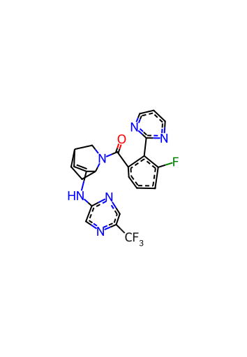 O=C(c1cccc(F)c1-c1ncccn1)N1CC2C=C(Nc3cnc(C(F)(F)F)cn3)C1CC2